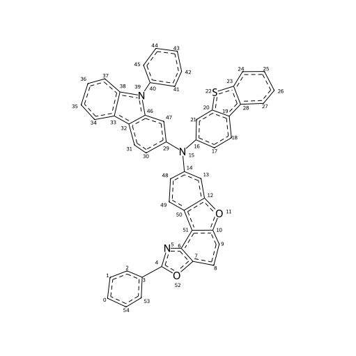 c1ccc(-c2nc3c(ccc4oc5cc(N(c6ccc7c(c6)sc6ccccc67)c6ccc7c8ccccc8n(-c8ccccc8)c7c6)ccc5c43)o2)cc1